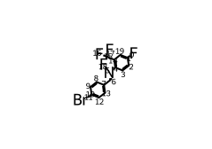 Fc1ccc(/N=C/c2ccc(Br)cc2)c(C(F)(F)F)c1